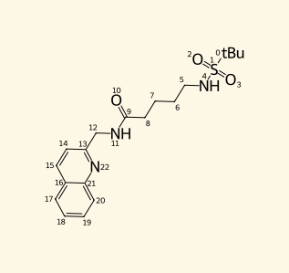 CC(C)(C)S(=O)(=O)NCCCCC(=O)NCc1ccc2ccccc2n1